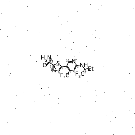 CC[C@H](Nc1cc(C(F)(F)F)c(-c2cnc(C(N)=O)s2)cn1)C(F)(F)F